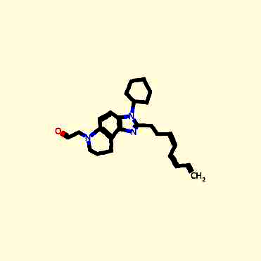 C=C/C=C\C=C/CCc1nc2c3c(ccc2n1C1CCCCC1)N(CC=O)CCC3